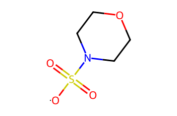 [O]S(=O)(=O)N1CCOCC1